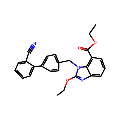 CCOC(=O)c1cccc2nc(OCC)n(Cc3ccc(-c4ccccc4C#N)cc3)c12